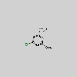 CC(=O)Oc1cc(Cl)cc(C(=O)O)c1